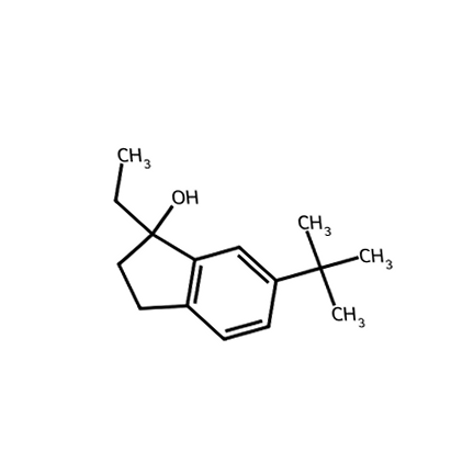 CCC1(O)CCc2ccc(C(C)(C)C)cc21